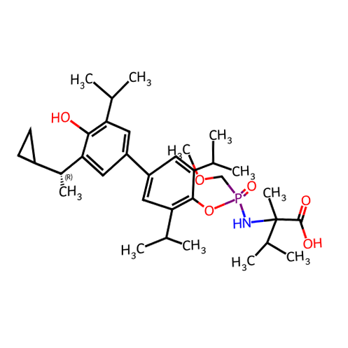 COCP(=O)(NC(C)(C(=O)O)C(C)C)Oc1c(C(C)C)cc(-c2cc(C(C)C)c(O)c([C@H](C)C3CC3)c2)cc1C(C)C